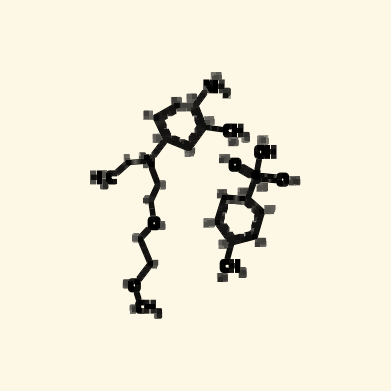 CCN(CCOCCOC)c1ccc(N)c(C)c1.Cc1ccc(S(=O)(=O)O)cc1